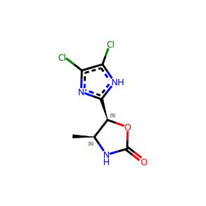 C[C@@H]1NC(=O)O[C@@H]1c1nc(Cl)c(Cl)[nH]1